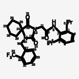 CC(C)c1cccc(C(C)C)c1NC(=O)CN1C(=O)N(Cc2ccccc2C(F)(F)F)C2(CCCCC2)C1=O